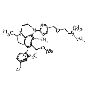 Cc1c([C@H](OC(C)(C)C)C(=O)O)c(-c2ccc(Cl)cc2)c2c3c1N(c1ncc(COCCN(C)C)cn1)CCN3C(C)C2